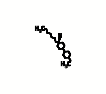 CCCCCCCC1(C#N)CCC(C2CCC(CC)CC2)CC1